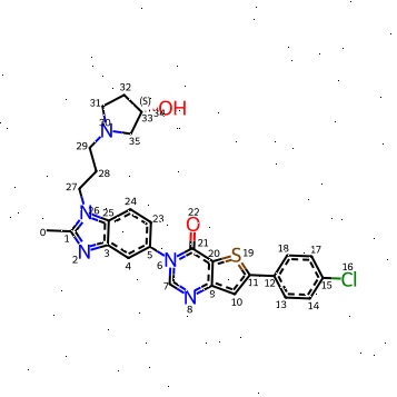 Cc1nc2cc(-n3cnc4cc(-c5ccc(Cl)cc5)sc4c3=O)ccc2n1CCCN1CC[C@H](O)C1